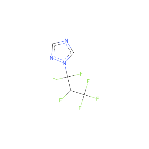 FC(C(F)(F)F)C(F)(F)n1cncn1